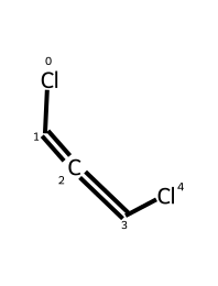 ClC=C=CCl